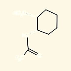 O=C(O)[C@@H]1CCCC[C@@H]1NC(=O)C(F)(F)F